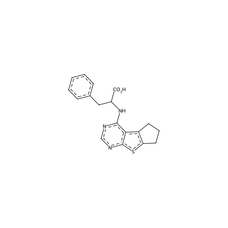 O=C(O)C(Cc1ccccc1)Nc1ncnc2sc3c(c12)CCC3